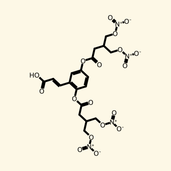 O=C(O)C=Cc1cc(OC(=O)CC(CO[N+](=O)[O-])CO[N+](=O)[O-])ccc1OC(=O)CC(CO[N+](=O)[O-])CO[N+](=O)[O-]